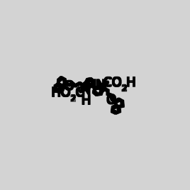 O=C(O)c1[nH]c2c(-c3cccc4c(CCCOc5cccc6ccccc56)c(C(=O)O)[nH]c34)cccc2c1CCCOc1cccc2ccccc12